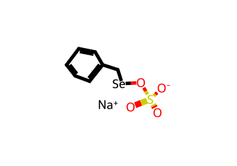 O=S(=O)([O-])O[Se]Cc1ccccc1.[Na+]